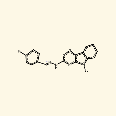 CCn1c2ccccc2c2nnc(N/N=C/c3ccc(F)cc3)nc21